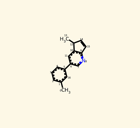 Cc1cccc(-c2cnc3c(c2)C(C)C=C3)c1